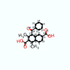 Cc1c(C(=O)O)c(C)c2ccc(C(=O)O)cc2c1C(=O)c1ccccc1